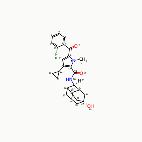 Cn1c(C(=O)c2ccccc2F)cc(C2CC2)c1C(=O)N[C@H]1C2CC3CC1C[C@](O)(C3)C2